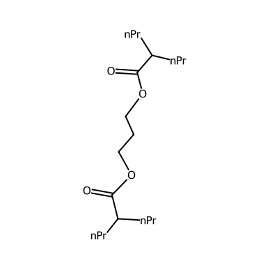 CCCC(CCC)C(=O)OCCCOC(=O)C(CCC)CCC